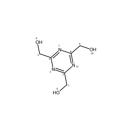 OCc1nc(CO)nc(CO)n1